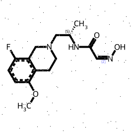 COc1ccc(F)c2c1CCN(C[C@H](C)NC(=O)/C=N\O)C2